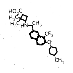 CC(N[C@H]1C[C@@H](C(=O)O)C1(C)C)c1ccc2ccc(O[C@H]3CC[C@@H](C)CC3)c(C(F)(F)F)c2c1